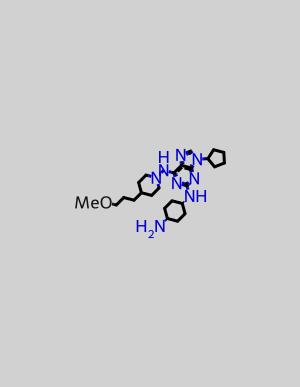 COCCCC1CCN(Nc2nc(N[C@H]3CC[C@H](N)CC3)nc3c2ncn3C2CCCC2)CC1